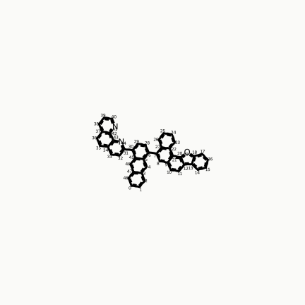 c1ccc2cc3c(-c4cc5ccc6c7ccccc7oc6c5c5ccccc45)ccc(-c4ccc5ccc6cccnc6c5n4)c3cc2c1